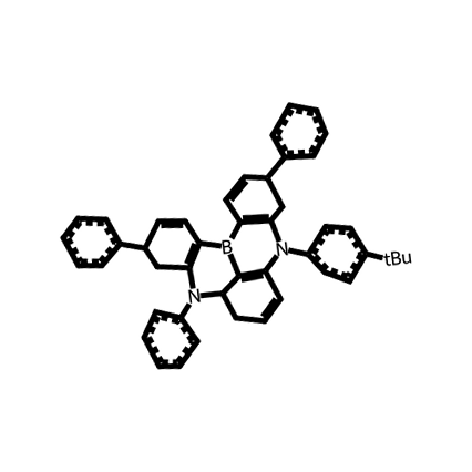 CC(C)(C)c1ccc(N2C3=C4B(C5=C2CC(c2ccccc2)C=C5)C2=C(CC(c5ccccc5)C=C2)N(c2ccccc2)C4CC=C3)cc1